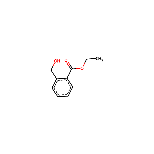 CCOC(=O)c1ccccc1CO